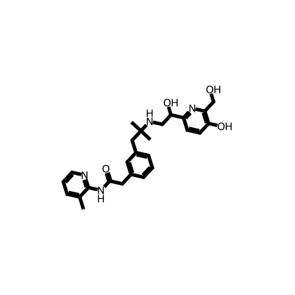 Cc1cccnc1NC(=O)Cc1cccc(CC(C)(C)NCC(O)c2ccc(O)c(CO)n2)c1